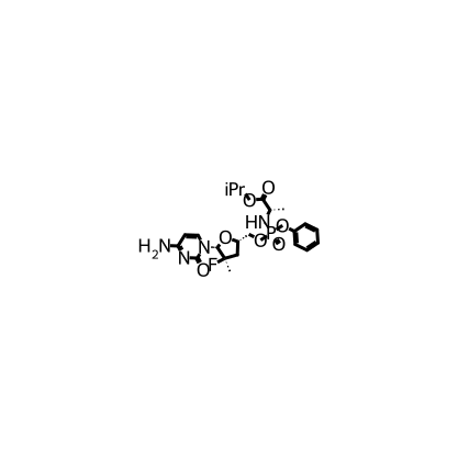 CC(C)OC(=O)[C@H](C)N[P@](=O)(OC[C@@H]1C[C@@](C)(F)[C@H](n2ccc(N)nc2=O)O1)Oc1ccccc1